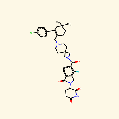 CC1(C)CCC(CN2CCC3(CC2)CN(C(=O)c2ccc4c(c2F)CN(C2CCC(=O)NC2=O)C4=O)C3)=C(c2ccc(Cl)cc2)C1